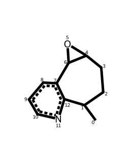 CC1CCC2OC2c2cccnc21